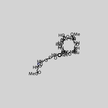 CCSc1[nH]c2ccc(NC(=O)CCOCCOCCNC(=O)/C=C\C(=O)NCCC(=O)OC)cc2c1C[C@@H]1NC(=O)[C@H]([C@@H](C)CC)NC(=O)[C@@H]2C[C@@H](O)CN2C(=O)[C@H](CC(=O)OC)NC(=O)CNC(=O)CNC(=O)[C@H]([C@@H](C)CC)NC(=O)CNC1=O